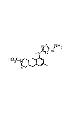 Cc1cc(CN2CCN(C(=O)O)[C@@H](C)C2)c(C)c(Nc2nnc([C@@H](C)N)o2)c1